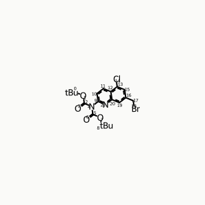 CC(C)(C)OC(=O)N(C(=O)OC(C)(C)C)c1ccc2c(Cl)cc(CBr)cc2n1